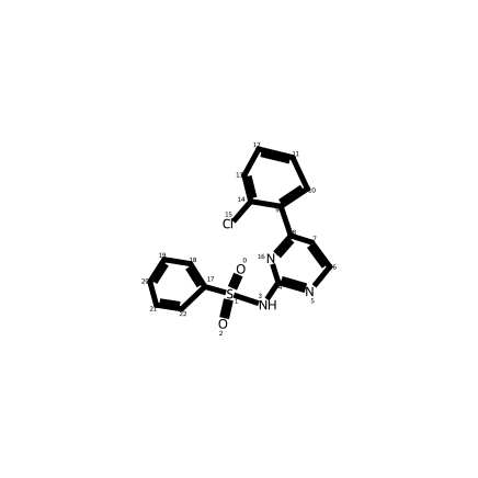 O=S(=O)(Nc1nccc(-c2ccccc2Cl)n1)c1ccccc1